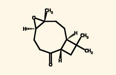 CC1(C)C[C@@H]2C(=O)CC[C@H]3O[C@]3(C)CC[C@H]21